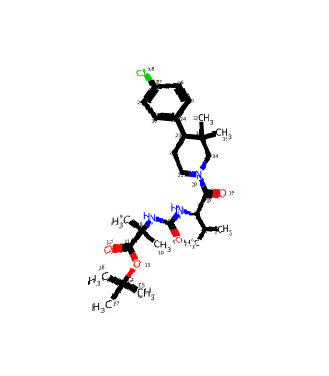 CC(C)[C@@H](NC(=O)NC(C)(C)C(=O)OC(C)(C)C)C(=O)N1CCC(c2ccc(Cl)cc2)C(C)(C)C1